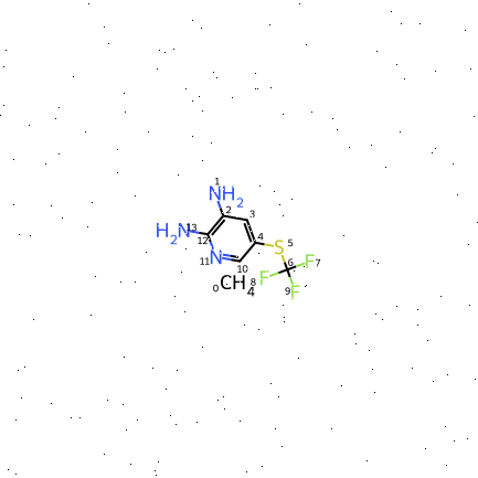 C.Nc1cc(SC(F)(F)F)cnc1N